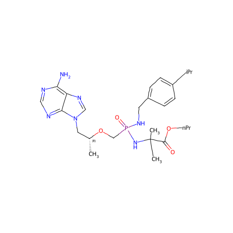 CCCOC(=O)C(C)(C)NP(=O)(CO[C@H](C)Cn1cnc2c(N)ncnc21)NCc1ccc(C(C)C)cc1